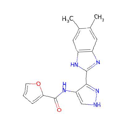 Cc1cc2nc(-c3n[nH]cc3NC(=O)c3ccco3)[nH]c2cc1C